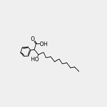 CCCCCCCCCCC(O)C(C(=O)O)c1ccccc1